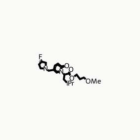 COCCCOC(=O)C(CC(C)C)n1cc(CN2CC[C@@H](F)C2)ccc1=O